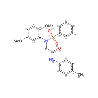 COc1ccc(OC)c(N(CC(=O)Nc2ccc(C)cc2)S(=O)(=O)c2ccccc2)c1